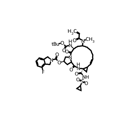 C=CC(=O)N(C)C1CCC/C=C\C2C[C@@]2(C(=O)NS(=O)(=O)C2CC2)NC(=O)C2C[C@@H](OC(=O)N3Cc4cccc(F)c4C3)CN2C(=O)[C@@H](NC(=O)OC(C)(C)C)C1